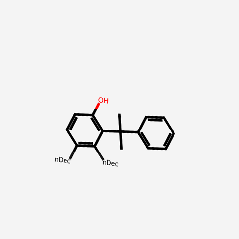 CCCCCCCCCCc1ccc(O)c(C(C)(C)c2ccccc2)c1CCCCCCCCCC